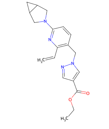 C=Cc1nc(N2CC3CC3C2)ccc1Cn1cc(C(=O)OCC)cn1